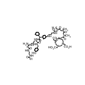 CCC(=O)NCCNC(=O)/N=C(/N)NCCC[C@@H](NC(=O)C(c1ccccc1)c1ccc(NCCCNC(=O)CN(C)C(=O)CN(C)C(=O)CN(C)C(=O)CN2CCN(CC(=O)O)CCN(CC(=O)O)CCN(CC(=O)O)CC2)cc1)C(=O)NCc1ccc(O)cc1